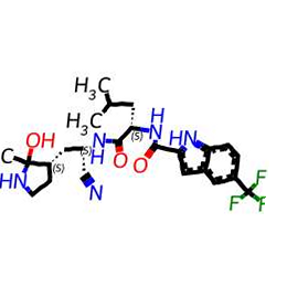 CC(C)C[C@H](NC(=O)c1cc2cc(C(F)(F)F)ccc2[nH]1)C(=O)N[C@H](C#N)C[C@@H]1CCNC1(C)O